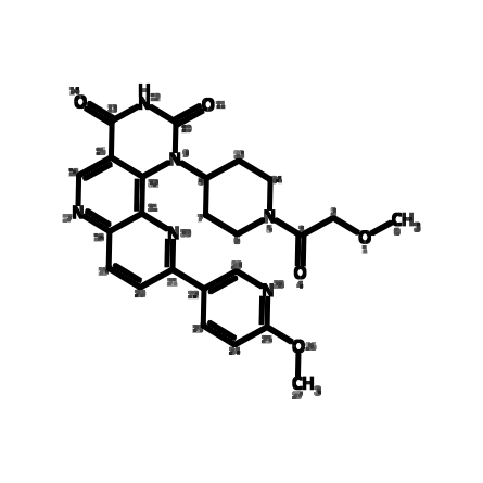 COCC(=O)N1CCC(n2c(=O)[nH]c(=O)c3cnc4ccc(-c5ccc(OC)nc5)nc4c32)CC1